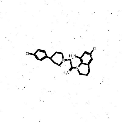 C=C(CN1CCC(c2ccc(Cl)cc2)CC1)N1CCCc2cc(Cl)cc(N)c21